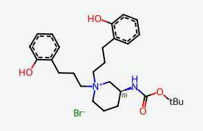 CC(C)(C)OC(=O)N[C@H]1CCC[N+](CCCc2ccccc2O)(CCCc2ccccc2O)C1.[Br-]